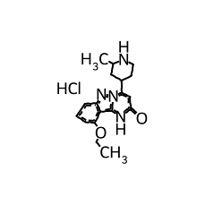 CCOc1cccc2nn3c(C4CCNC(C)C4)cc(=O)[nH]c3c12.Cl